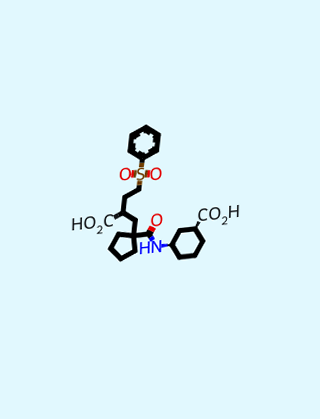 O=C(O)C(CCS(=O)(=O)c1ccccc1)CC1(C(=O)N[C@@H]2CCC[C@H](C(=O)O)C2)CCCC1